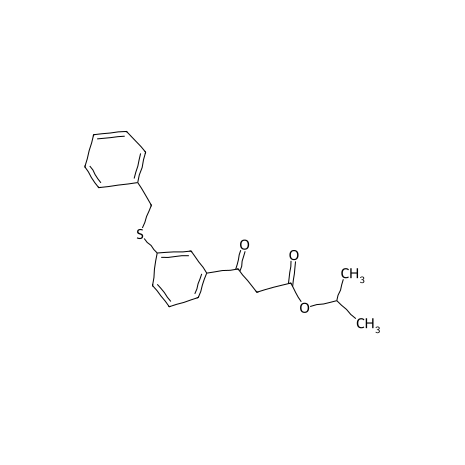 CC(C)OC(=O)CC(=O)c1cccc(SCc2ccccc2)c1